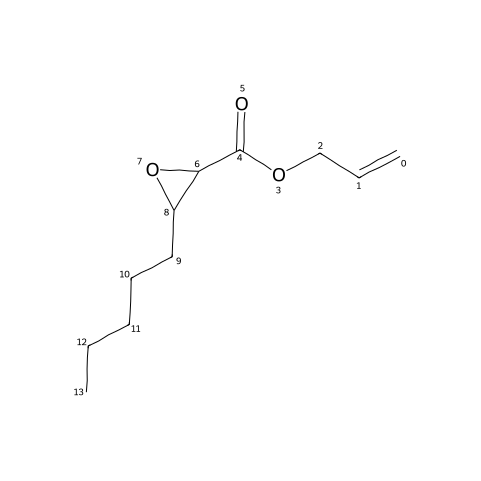 C=CCOC(=O)C1OC1CCCCC